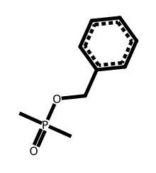 CP(C)(=O)OCc1ccccc1